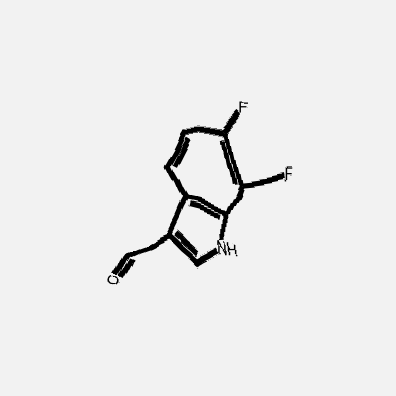 O=Cc1c[nH]c2c(F)c(F)ccc12